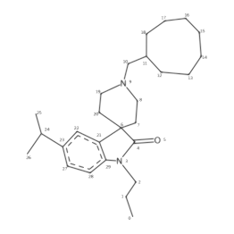 CCCN1C(=O)C2(CCN(CC3CCCCCCC3)CC2)c2cc(C(C)C)ccc21